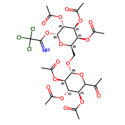 CC(=O)O[C@H]1[C@@H](OC(C)=O)[C@@H](CO[C@@H]2OC(C(C)=O)[C@@H](OC(C)=O)[C@H](OC(C)=O)[C@H]2OC(C)=O)O[C@H](OC(=N)C(Cl)(Cl)Cl)[C@@H]1OC(C)=O